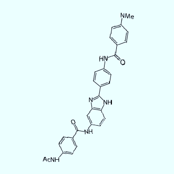 CNc1ccc(C(=O)Nc2ccc(-c3nc4cc(NC(=O)c5ccc(NC(C)=O)cc5)ccc4[nH]3)cc2)cc1